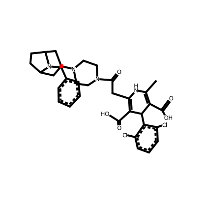 CC1=C(C(=O)O)C(c2c(Cl)cccc2Cl)C(C(=O)O)=C(CC(=O)N2CCN(C3CC4CCC(C3)N4Cc3ccccc3)CC2)N1